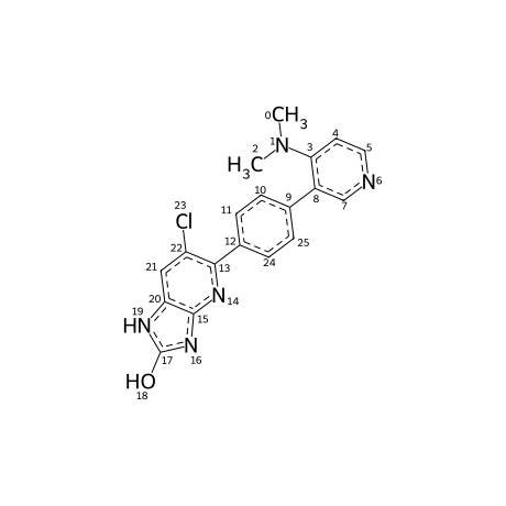 CN(C)c1ccncc1-c1ccc(-c2nc3nc(O)[nH]c3cc2Cl)cc1